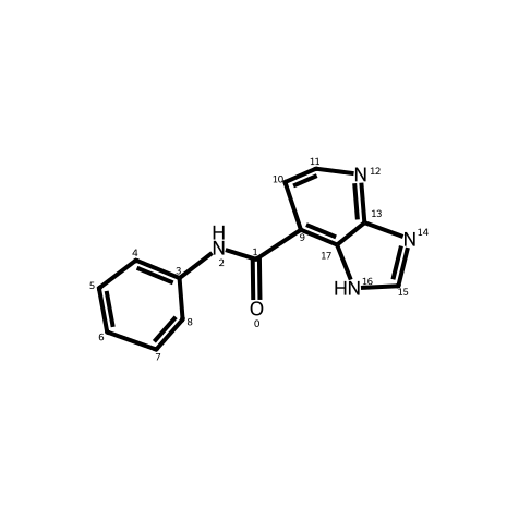 O=C(Nc1ccccc1)c1ccnc2nc[nH]c12